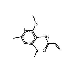 C=CC(=O)Nc1c(SC)cc(C)nc1SC